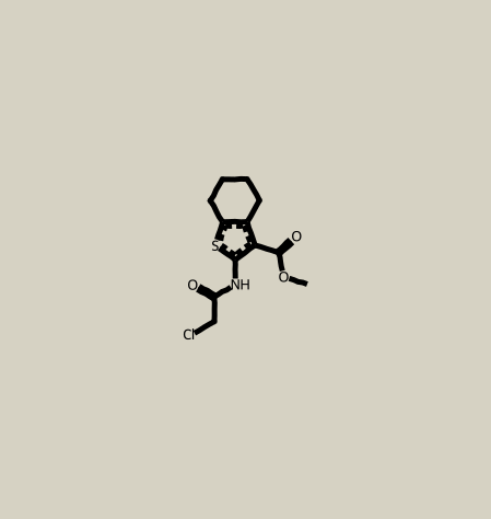 COC(=O)c1c(NC(=O)CCl)sc2c1CCCC2